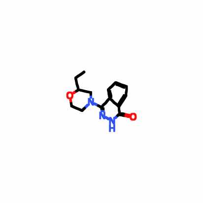 CCC1CN(c2n[nH]c(=O)c3ccccc23)CCO1